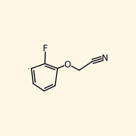 N#CCOc1ccc[c]c1F